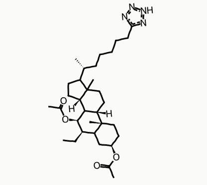 CC[C@@H]1C2C[C@H](OC(C)=O)CC[C@@]2(C)[C@H]2CCC3(C)C([C@H](C)CCCCCc4nn[nH]n4)CC[C@H]3C2[C@@H]1OC(C)=O